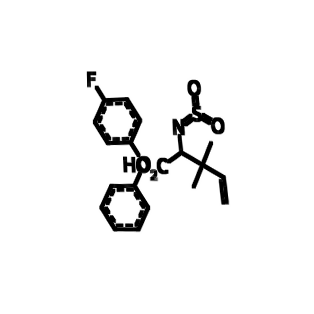 C=CC(C)(C)C(N=S(=O)=O)C(=O)O.Fc1ccc(Oc2ccccc2)cc1